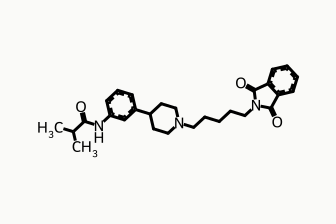 CC(C)C(=O)Nc1cccc(C2CCN(CCCCCN3C(=O)c4ccccc4C3=O)CC2)c1